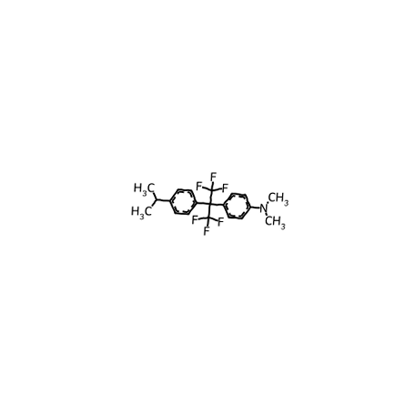 CC(C)c1ccc(C(c2ccc(N(C)C)cc2)(C(F)(F)F)C(F)(F)F)cc1